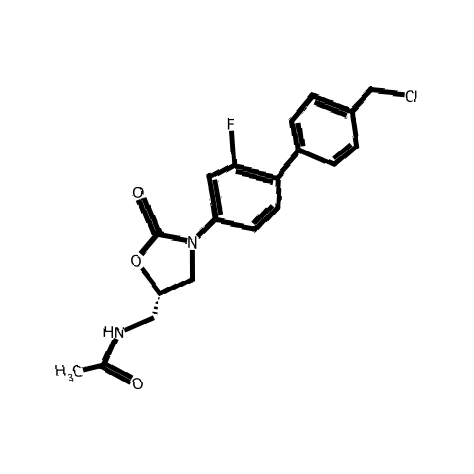 CC(=O)NC[C@H]1CN(c2ccc(-c3ccc(CCl)cc3)c(F)c2)C(=O)O1